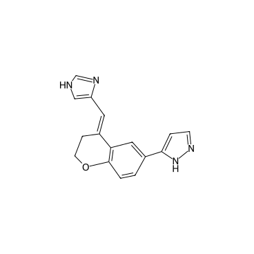 C(=C1/CCOc2ccc(-c3ccn[nH]3)cc21)/c1c[nH]cn1